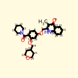 Cc1c(COc2ccc(C(=O)N3CCCCC3)c(OCC3CCOCC3)c2)[nH]c2ccccc2c1=O